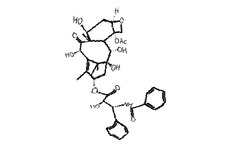 CC(=O)O[C@@]12CO[C@@H]1C[C@H](O)[C@@]1(C)C(=O)[C@H](O)C3=C(C)[C@@H](OC(=O)[C@H](O)[C@@H](NC(=O)c4ccccc4)c4ccccc4)C[C@@](O)([C@@H](O)C12)C3(C)C